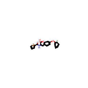 O=C(O)/C(=C\c1ccc(Oc2ccccc2F)cc1)NC(=O)c1cccs1